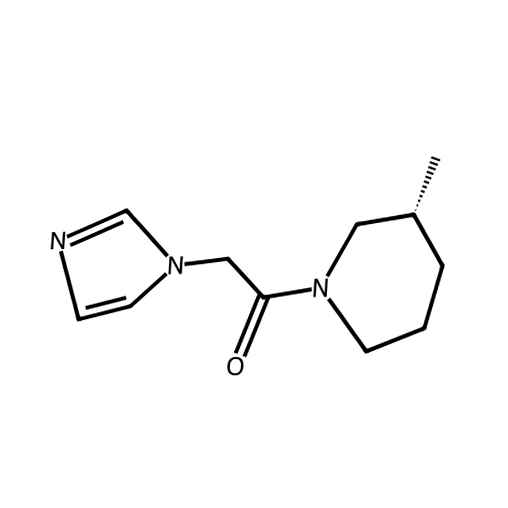 C[C@@H]1CCCN(C(=O)Cn2ccnc2)C1